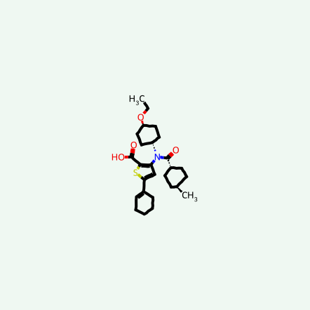 CCO[C@H]1CC[C@H](N(c2cc(C3=CCCCC3)sc2C(=O)O)C(=O)[C@H]2CC[C@H](C)CC2)CC1